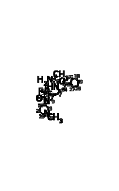 C[C@H](N)C(=O)N[C@H](/C=C/CN(C(=O)C(F)(F)F)C1CCCN(C)C1)CCc1ccccc1